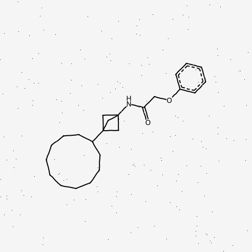 O=C(COc1ccccc1)NC12CC(C3CCCCCCCCCC3)(C1)C2